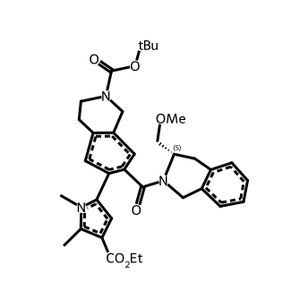 CCOC(=O)c1cc(-c2cc3c(cc2C(=O)N2Cc4ccccc4C[C@H]2COC)CN(C(=O)OC(C)(C)C)CC3)n(C)c1C